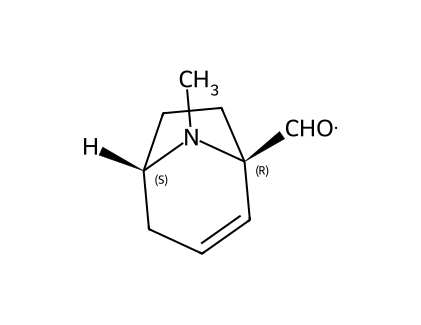 CN1[C@@H]2CC=C[C@@]1([C]=O)CC2